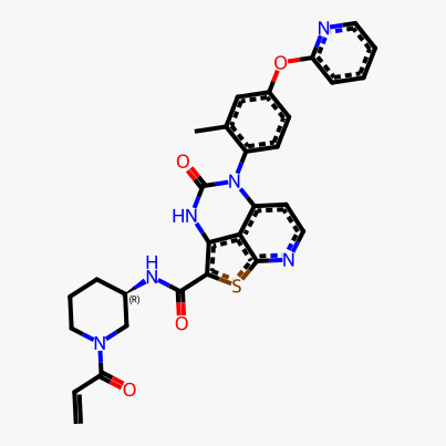 C=CC(=O)N1CCC[C@@H](NC(=O)c2sc3nccc4c3c2NC(=O)N4c2ccc(Oc3ccccn3)cc2C)C1